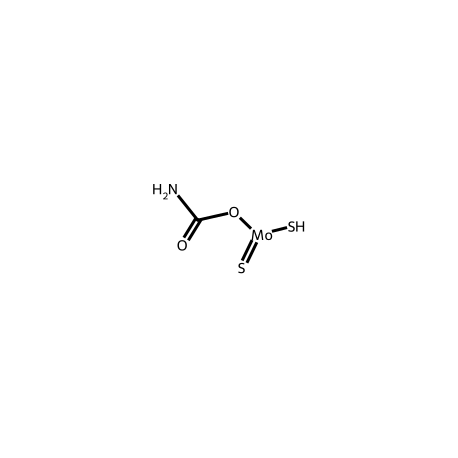 NC(=O)[O][Mo](=[S])[SH]